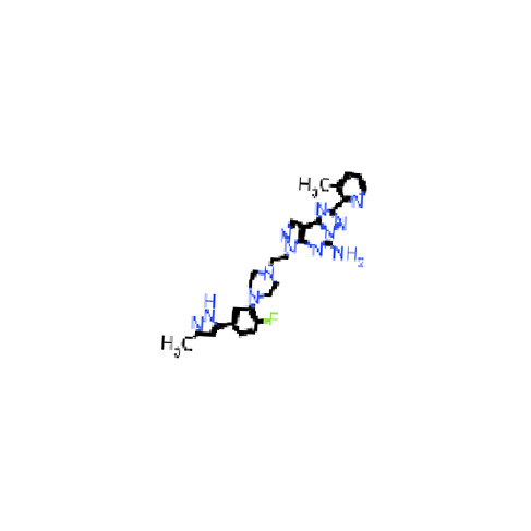 Cc1cc(-c2ccc(F)c(N3CCN(CCn4ncc5c4nc(N)n4nc(-c6ncccc6C)nc54)CC3)c2)[nH]n1